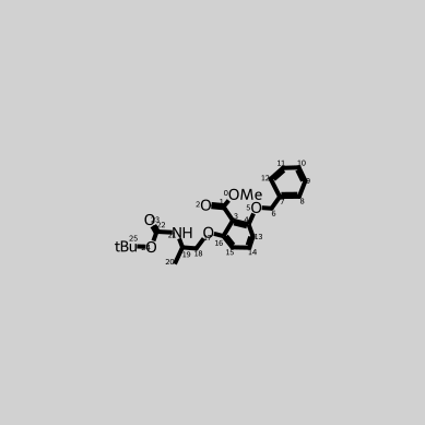 COC(=O)c1c(OCc2ccccc2)cccc1OCC(C)NC(=O)OC(C)(C)C